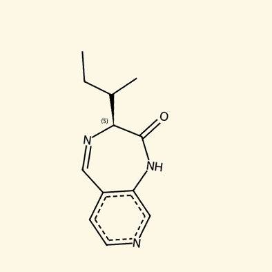 CCC(C)[C@@H]1N=Cc2ccncc2NC1=O